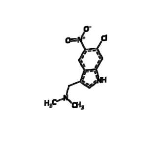 CN(C)Cc1c[nH]c2cc(Cl)c([N+](=O)[O-])cc12